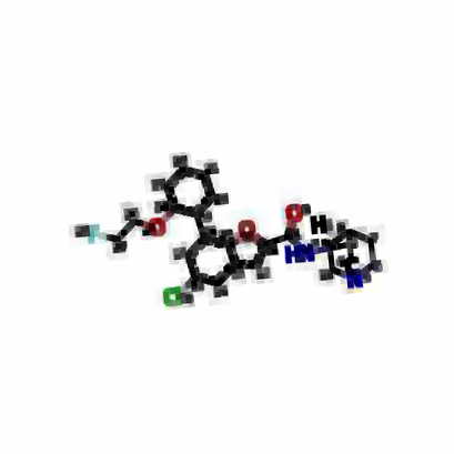 O=C(N[C@@H]1CN2CCC1CC2)c1cc2cc(Cl)cc(-c3ccccc3OCCF)c2o1